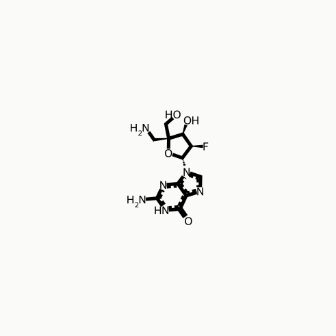 NC[C@]1(CO)O[C@@H](n2cnc3c(=O)[nH]c(N)nc32)[C@H](F)[C@@H]1O